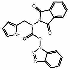 O=C(On1nnc2ccccc21)N(Cc1ccc[nH]1)N1C(=O)c2ccccc2C1=O